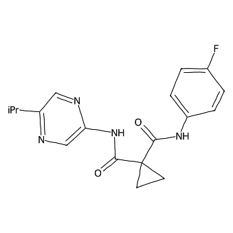 CC(C)c1cnc(NC(=O)C2(C(=O)Nc3ccc(F)cc3)CC2)cn1